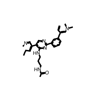 C=C/C(=C\N(C)C)c1cccc(-c2ncc(C(/C=N\C)=C/CC)c(NCCCNC(C)=O)n2)c1